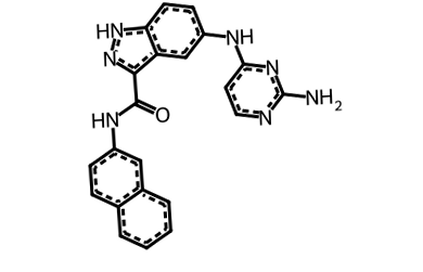 Nc1nccc(Nc2ccc3[nH]nc(C(=O)Nc4ccc5ccccc5c4)c3c2)n1